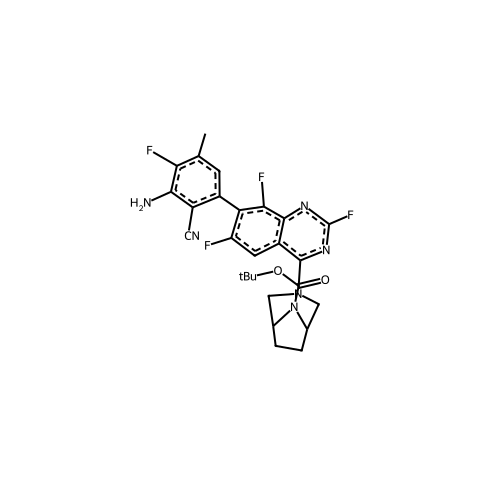 Cc1cc(-c2c(F)cc3c(N4CC5CCC(C4)N5C(=O)OC(C)(C)C)nc(F)nc3c2F)c(C#N)c(N)c1F